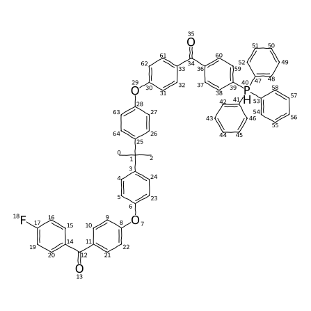 CC(C)(c1ccc(Oc2ccc(C(=O)c3ccc(F)cc3)cc2)cc1)c1ccc(Oc2ccc(C(=O)c3ccc([PH](c4ccccc4)(c4ccccc4)c4ccccc4)cc3)cc2)cc1